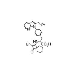 CC(C)Cc1cc2cccnc2n1-c1ccc(CC(NC2=C(Br)C(=O)C23CCCCC3)C(=O)O)cc1